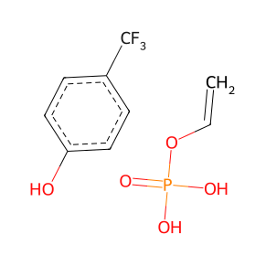 C=COP(=O)(O)O.Oc1ccc(C(F)(F)F)cc1